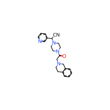 N#CC(c1cccnc1)N1CCN(C(=O)CN2CCc3ccccc3C2)CC1